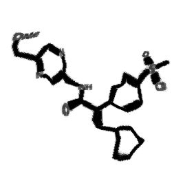 COCc1cnc(NC(=O)/C(=C/C2CCCC2)c2ccc(S(C)(=O)=O)cc2)cn1